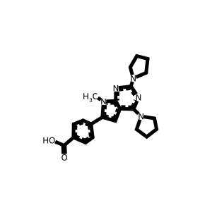 Cn1c(-c2ccc(C(=O)O)cc2)cc2c(N3CCCC3)nc(N3CCCC3)nc21